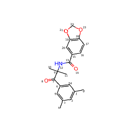 Cc1cc(C)cc(C(=O)C(C)(C)NC(=O)c2ccc3c(c2)OCO3)c1